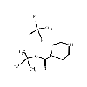 CC(C)(C)OC(=O)N1CCNCC1.C[B-](F)(F)F.[K+]